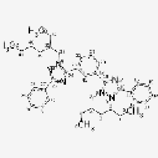 CCCCC(CC)Cn1nc(-c2ccccc2)nc1-c1cccc(-c2nc(-c3ccccc3)nn2CC(CC)CCCC)c1